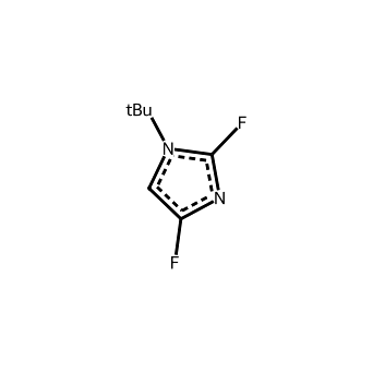 CC(C)(C)n1cc(F)nc1F